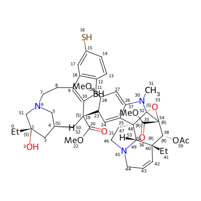 CC[C@]1(O)C[C@H]2CN(CCC3=C(Bc4ccc(S)cc43)[C@@](C(=O)OC)(C3C=C4C(=CC3OC)N(C)[C@@]35O[C@]3(C(=O)OC)[C@H](OC(C)=O)[C@]3(CC)C=CCN6CC[C@]45[C@@H]63)C2)C1